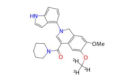 [2H]C([2H])([2H])Oc1cc2c(cc1OC)CN(c1cccc3[nH]ccc13)C=C2C(=O)N1CCCCC1